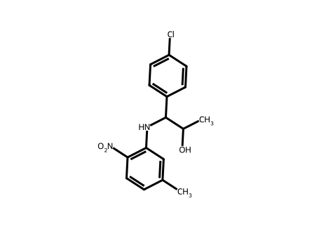 Cc1ccc([N+](=O)[O-])c(NC(c2ccc(Cl)cc2)C(C)O)c1